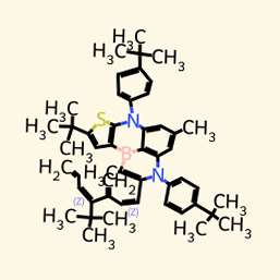 C=C/C=C(\C(=C)/C=C\C1=C(C)B2c3cc(C(C)(C)C)sc3N(c3ccc(C(C)(C)C)cc3)c3cc(C)cc(c32)N1c1ccc(C(C)(C)C)cc1)C(C)(C)C